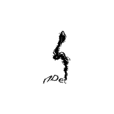 CCCCCCCCCCCCCCCCCCN(C)C(=O)c1ccccc1COCCCCN1CCOCC1